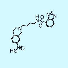 O=[N+](O)c1ccc2c(c1)CN(CCCCNS(=O)(=O)c1cccc3nsnc13)CC2